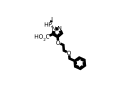 O=C(O)c1c(OCCOCc2ccccc2)cnn1PI